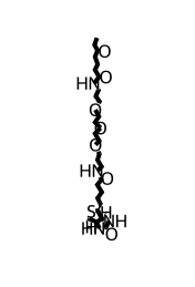 CCC(=O)CCCC(=O)NCCCOCCOCCOCCCNC(=O)CCCC[C@@H]1SC[C@@H]2NC(=O)N[C@@H]21